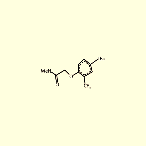 CNC(=O)COc1ccc(C(C)(C)C)cc1C(F)(F)F